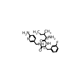 CCC(C)[C@@H](N)C(=O)N[C@@H](Cc1cccc(F)c1)C(=O)NCc1ccc(N)nc1